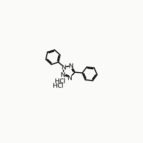 Cl.Cl.c1ccc(-c2nnn(-c3ccccc3)n2)cc1